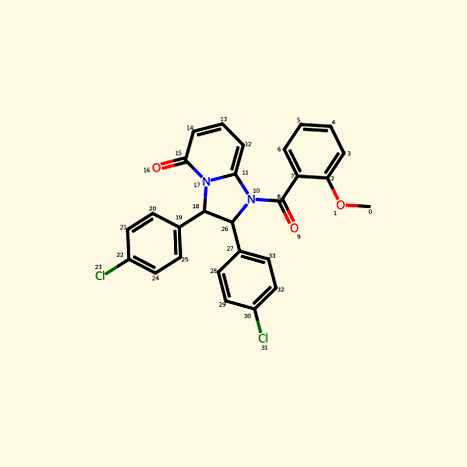 COc1ccccc1C(=O)N1c2cccc(=O)n2C(c2ccc(Cl)cc2)C1c1ccc(Cl)cc1